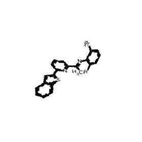 C/C(=N\c1c(C(C)C)cccc1C(C)C)c1cccc(-c2cc3ccccc3s2)n1